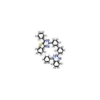 c1ccc(-c2nc(-c3cccc(-c4cccc(-c5nc(-c6ccccc6)c6sc7ccccc7c6n5)c4)c3)nc3ccccc23)cc1